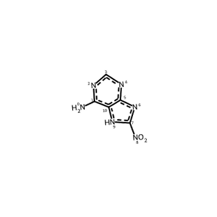 Nc1ncnc2nc([N+](=O)[O-])[nH]c12